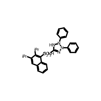 CC(C)c1cc2ccccc2c(S(=O)(=O)O)c1C(C)C.O=[N+]([O-])C1=NN(c2ccccc2)N(c2ccccc2)N1